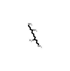 NCCCC(N)CCCCC(N)CCCN